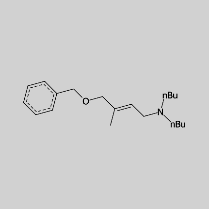 CCCCN(C/C=C(\C)COCc1ccccc1)CCCC